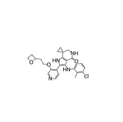 Cc1c(Cl)cccc1Nc1c(-c2ccncc2OCCC2CCO2)[nH]c2c1C(=O)NCC21CC1